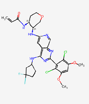 C=CC(=O)N[C@H]1CCOC[C@H]1Nc1cc2c(NC3CCC(F)(F)C3)nc(-c3c(Cl)c(OC)cc(OC)c3Cl)nc2cn1